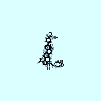 C=C(C)[C@@H]1CC[C@]2(NCCN3CCS(=O)(=O)CC3)CC[C@]3(C)[C@H](CC[C@@H]4[C@@]5(C)CC=C(C6=CCC(C)(C(=O)O)CC6)C(C)(C)[C@@H]5CC[C@]43C)[C@@H]12